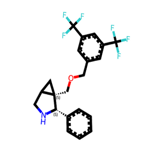 FC(F)(F)c1cc(COC[C@@]23CC2CN[C@H]3c2ccccc2)cc(C(F)(F)F)c1